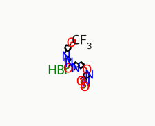 Br.Cc1cc(Oc2ccc3cc(C(=O)N4CCN(Cc5ccc(OCC(F)(F)F)cc5)CC4)n(C)c3c2)ncc1N(C)S(C)(=O)=O